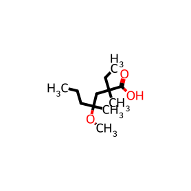 CCCC(C)(CC(C)(CC)C(=O)O)OC